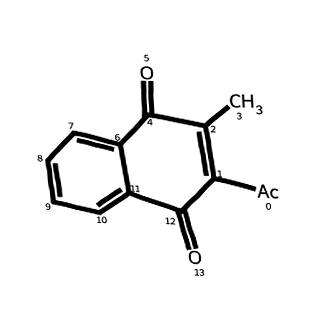 CC(=O)C1=C(C)C(=O)c2ccccc2C1=O